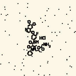 COc1cc2nccc(Oc3ccc(NC(=O)c4c(C)n(CC(C)OC(=O)CN)n(-c5ccccc5)c4=O)cc3F)c2cc1OC.Cl